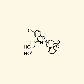 O=S1(=O)CCN(c2nc(NCC(O)CO)c3cc(Cl)ccc3n2)Cc2ccccc21